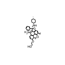 C[C@H]1c2c(cc(F)c(Cl)c2C2=C(C(N)=O)C=CC(OCCO)C2F)O[C@]1(CN[C@H]1CC[C@@H](C)CC1)c1ccccc1